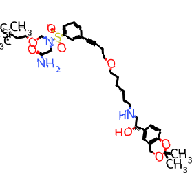 CC1(C)OCc2cc([C@@H](O)CNCCCCCCOCCC#Cc3cccc(S(=O)(=O)N(COCC[Si](C)(C)C)CC(N)=O)c3)ccc2O1